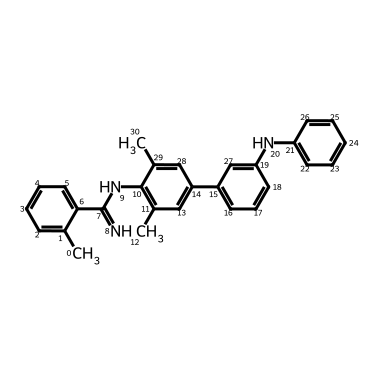 Cc1ccccc1C(=N)Nc1c(C)cc(-c2cccc(Nc3ccccc3)c2)cc1C